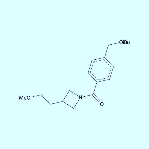 COCCC1CN(C(=O)c2ccc(COCC(C)C)cc2)C1